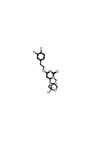 O=c1nc(OCCc2ccc(F)c(F)c2)cc2n1C[C@]13CO[C@H](CN21)C3